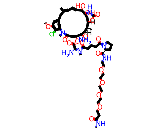 CNC(=O)CCOCCOCCOCCOCCNC(=O)[C@H]1CCCN1C(=O)CCCC(=O)N(C)[C@@H](N)C(=O)O[C@H]1CC(=O)N(C)c2cc(cc(OC)c2Cl)C/C(C)=C/C=C/[C@@H](O)[C@@]2(O)C[C@H](OC(=O)N2)[C@@H](C)[C@@H]2O[C@@]12N